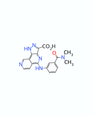 CN(C)C(=O)c1cccc(Nc2nc3c(C(=O)O)n[nH]c3c3cnccc23)c1